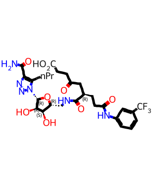 CCCc1c(C(N)=O)nnn1[C@@H]1O[C@H](CNC(=O)[C@H](CCC(=O)Nc2cccc(C(F)(F)F)c2)CC(=O)CCC(=O)O)[C@@H](O)[C@H]1O